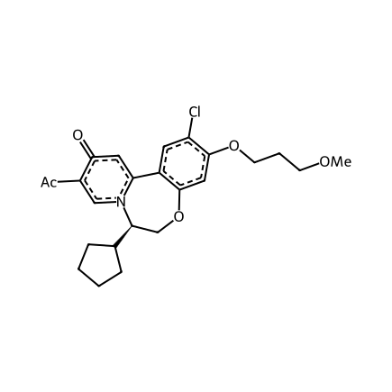 COCCCOc1cc2c(cc1Cl)-c1cc(=O)c(C(C)=O)cn1[C@H](C1CCCC1)CO2